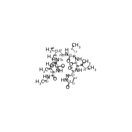 CCC[C@H](NC(=O)[C@@H](NC(=O)c1ccc(=O)[nH]n1)[C@@H](C)CC)C(=O)N[C@H](CN[C@@H](C)C(=O)N[C@H](C(=O)NCC)C(C)C)CC(C)C